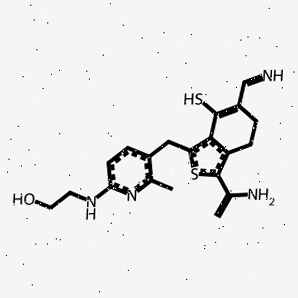 C=C(N)c1sc(Cc2ccc(NCCO)nc2C)c2c1CCC(C=N)=C2S